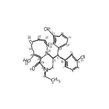 CCN1CC(C(c2cccc(Cl)c2)c2cccc(Cl)c2)N2/N=C\COC/C(O)=C\2C1=O